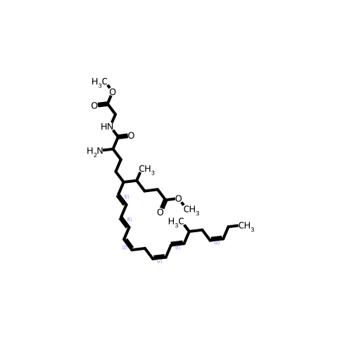 CC/C=C\CC(C)/C=C/C=C\C\C=C/C=C/C=C/C(CCC(N)C(=O)NCC(=O)OC)C(C)CCC(=O)OC